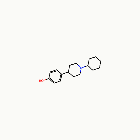 Oc1ccc(C2CCN(C3CCCCC3)CC2)cc1